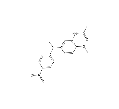 COc1ccc(C(C)c2ccc([N+](=O)[O-])cc2)cc1NC(C)=O